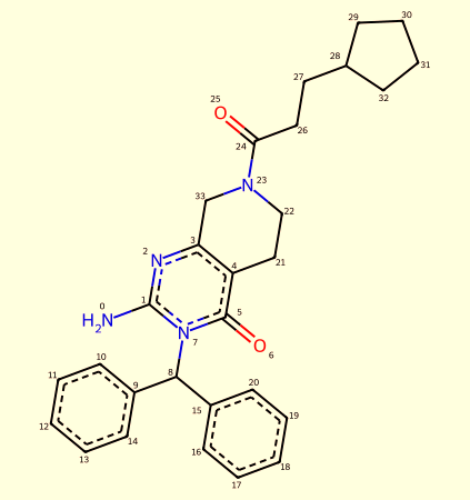 Nc1nc2c(c(=O)n1C(c1ccccc1)c1ccccc1)CCN(C(=O)CCC1CCCC1)C2